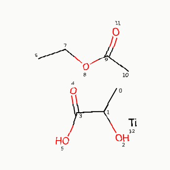 CC(O)C(=O)O.CCOC(C)=O.[Ti]